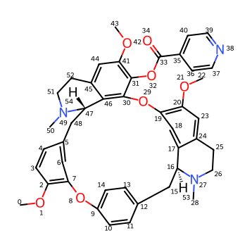 COc1ccc2cc1Oc1ccc(cc1)C[C@H]1c3cc(c(OC)cc3CCN1C)Oc1c(OC(=O)c3ccncc3)c(OC)cc3c1[C@H](C2)N(C)CC3